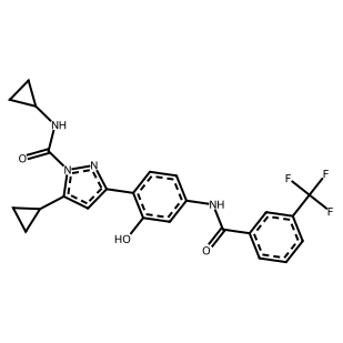 O=C(Nc1ccc(-c2cc(C3CC3)n(C(=O)NC3CC3)n2)c(O)c1)c1cccc(C(F)(F)F)c1